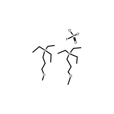 CC[N+](CC)(CC)CCCOC.CC[N+](CC)(CC)CCCOC.O=P([O-])([O-])F